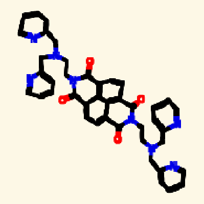 O=C1c2ccc3c4c(ccc(c24)C(=O)N1CCN(Cc1ccccn1)Cc1ccccn1)C(=O)N(CCN(Cc1ccccn1)Cc1ccccn1)C3=O